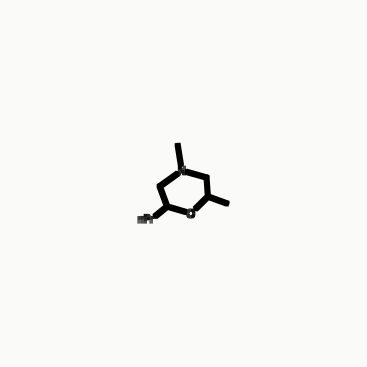 CCCC1CN(C)CC(C)O1